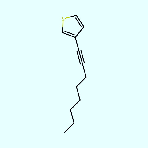 CCCCCCC#Cc1ccsc1